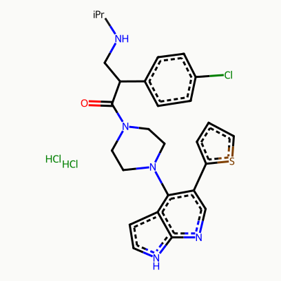 CC(C)NCC(C(=O)N1CCN(c2c(-c3cccs3)cnc3[nH]ccc23)CC1)c1ccc(Cl)cc1.Cl.Cl